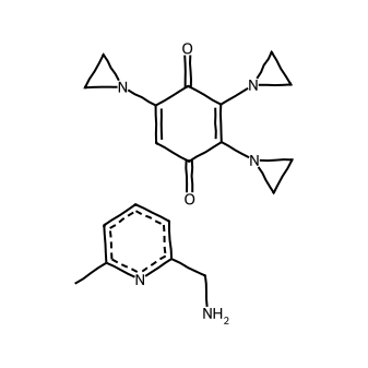 Cc1cccc(CN)n1.O=C1C=C(N2CC2)C(=O)C(N2CC2)=C1N1CC1